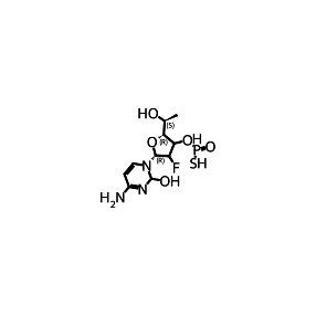 C[C@H](O)[C@H]1O[C@@H](N2C=CC(N)=NC2O)C(F)C1O[PH](=O)S